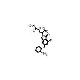 CC(C)(C)OC(=O)CC[C@@H](C(N)=O)N1Cc2cc(C[C@H]3CCCC[C@@H]3N)cc(F)c2C1=O